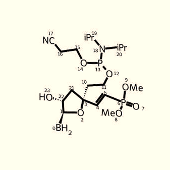 B[C@@H]1O[C@@](/C=C/P(=O)(OC)OC)(CCOP(OCCC#N)N(C(C)C)C(C)C)C[C@H]1O